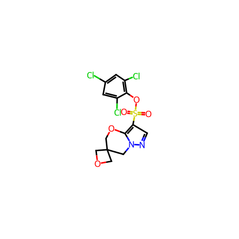 O=S(=O)(Oc1c(Cl)cc(Cl)cc1Cl)c1cnn2c1OCC1(COC1)C2